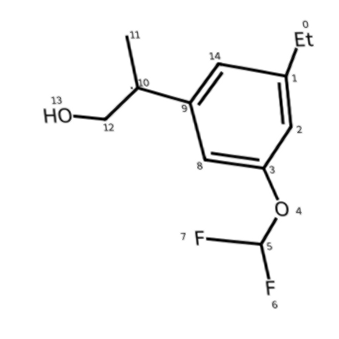 CCc1cc(OC(F)F)cc([C](C)CO)c1